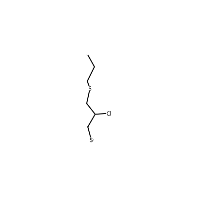 [CH2]CCSCC(Cl)C[S]